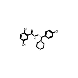 N#Cc1ccc(Cl)c(C(=O)NC[C@H](c2ccc(Cl)cc2)N2CCOCC2)c1